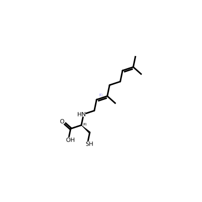 CC(C)=CCC/C(C)=C/CN[C@@H](CS)C(=O)O